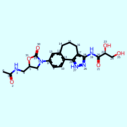 CC(=O)NCC1CN(c2ccc3c(c2)CCCc2c(NC(=O)[C@@H](O)CO)n[nH]c2-3)C(=O)O1